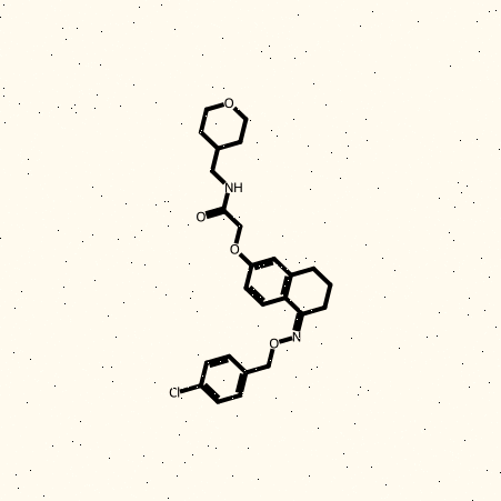 O=C(COc1ccc2c(c1)CCC/C2=N/OCc1ccc(Cl)cc1)NCC1CCOCC1